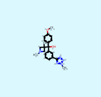 CN1CC(C)(C(O)(c2ccc(OC(F)(F)F)cc2)c2cccc(-c3nnn(C)n3)c2)C1